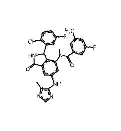 Cn1ncnc1Nc1cc(NC(=O)c2cc(F)cc(C(F)(F)F)c2)c2c(c1)C(=O)NC2c1cc(F)ccc1Cl